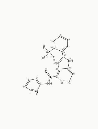 O=C(Nc1ccccn1)c1cccc2[nH]c(-c3ccccc3C(F)(F)F)nc12